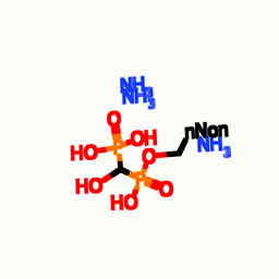 CCCCCCCCCCOP(=O)(O)C(O)P(=O)(O)O.N.N.N